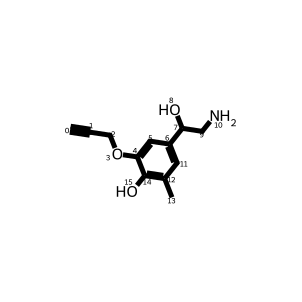 C#CCOc1cc(C(O)CN)cc(C)c1O